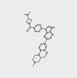 CN1CCN2c3ccc(-c4cnc5[nH]cc(-c6ccc(C(=O)N7CC(N(C)C)C7)cc6)c5n4)cc3OCC2C1